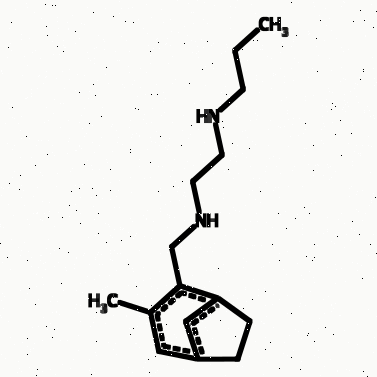 CCCNCCNCc1c(C)cc2cc1CC2